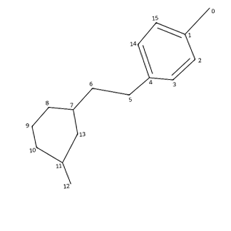 Cc1ccc(CCC2CCCC(C)C2)cc1